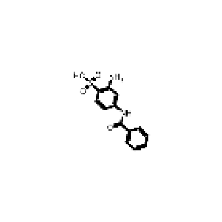 Nc1cc(NC(=O)c2ccccc2)ccc1S(=O)(=O)O